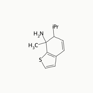 CC(C)C1C=Cc2ccsc2C1(C)N